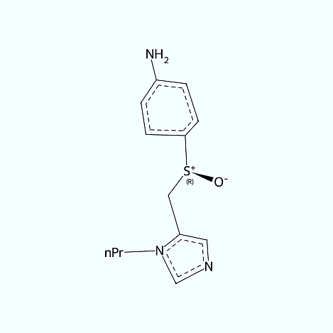 CCCn1cncc1C[S@+]([O-])c1ccc(N)cc1